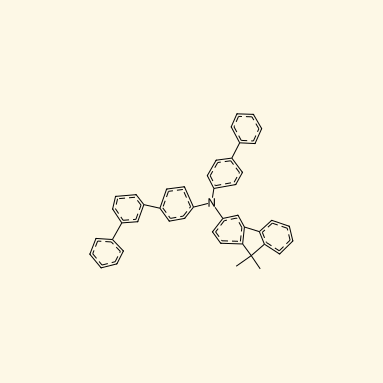 CC1(C)c2ccccc2-c2cc(N(c3ccc(-c4ccccc4)cc3)c3ccc(-c4cccc(-c5ccccc5)c4)cc3)ccc21